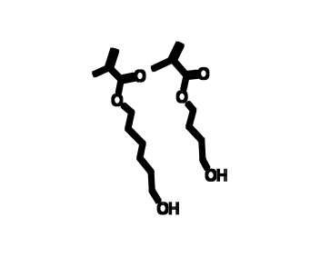 C=C(C)C(=O)OCCCCCCO.C=C(C)C(=O)OCCCCO